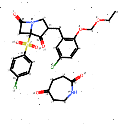 CCOCOc1ccc(Cl)cc1CC1CN2C(=O)CC2(S(=O)(=O)c2ccc(Cl)cc2)C1=O.O=C1CCNC(=O)CC1